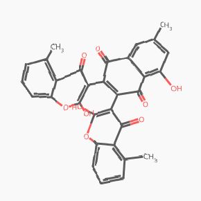 Cc1cc(O)c2c(c1)C(=O)C(c1c(O)oc3cccc(C)c3c1=O)=C(c1c(O)oc3cccc(C)c3c1=O)C2=O